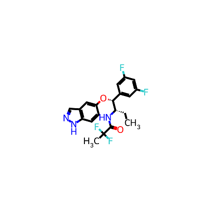 CC[C@H](NC(=O)C(C)(F)F)[C@H](Oc1ccc2[nH]ncc2c1)c1cc(F)cc(F)c1